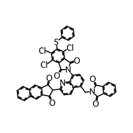 O=C1c2cc3ccccc3cc2C(=O)C1c1ccc2c(CN3C(=O)c4ccccc4C3=O)ccc(N3C(=O)c4c(Cl)c(Cl)c(Sc5ccccc5)c(Cl)c4C3=O)c2n1